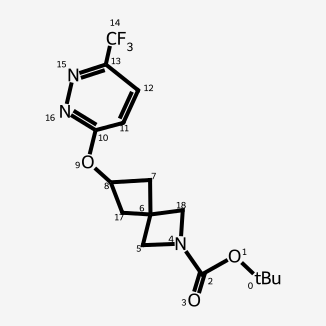 CC(C)(C)OC(=O)N1CC2(CC(Oc3ccc(C(F)(F)F)nn3)C2)C1